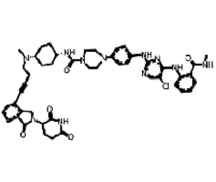 CNC(=O)c1ccccc1Nc1nc(Nc2ccc(N3CCN(C(=O)N[C@H]4CC[C@@H](N(C)CCC#Cc5cccc6c5CN(C5CCC(=O)NC5=O)C6=O)CC4)CC3)cc2)ncc1Cl